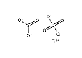 O=S(=O)([O-])[O-].O=S([O-])[O-].[Ti+4]